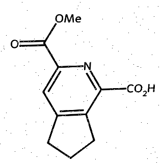 COC(=O)c1cc2c(c(C(=O)O)n1)CCC2